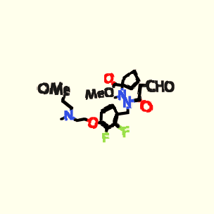 COCCN(C)CCOc1ccc(CN(C(=O)CC=O)N(C)C2(C(=O)OC)CCCC2)c(F)c1F